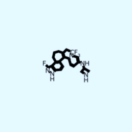 Fc1n[nH]c2ccc3c(c12)CCCC(CC(F)(F)F)=C3c1ccc(NC2CNC2)cn1